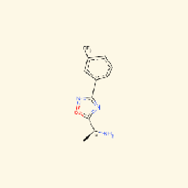 C[C@H](N)c1nc(-c2cccc(C(F)(F)F)c2)no1